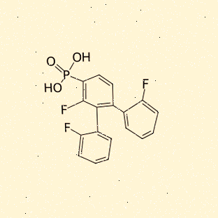 O=P(O)(O)c1ccc(-c2ccccc2F)c(-c2ccccc2F)c1F